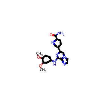 COc1ccc(Nc2nc(-c3ccc(C(N)=O)nc3)cn3ccnc23)cc1OC